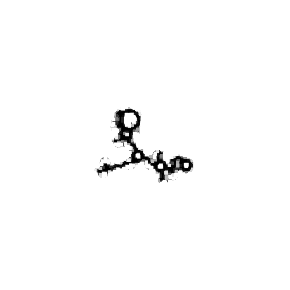 C=Nc1cc(OCc2cc(COc3cc4c(cc3OC)C(=O)N(C)C(=C)\C=C/C=C\C=N/4)cc(OCCCCC(=O)OC)c2)c(OC)cc1C(=O)N1CCc2ccccc21